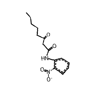 CCCCCC(=O)CC(=O)Nc1ccccc1[N+](=O)[O-]